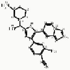 N#Cc1ccc(-c2cc(C(O)N3CCCC(N)C3)sc2-c2ccn3cncc3c2)cc1F